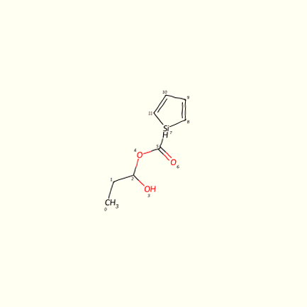 CCC(O)OC(=O)[SiH]1C=CC=C1